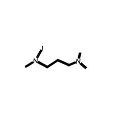 CN(C)CCCN(C)I